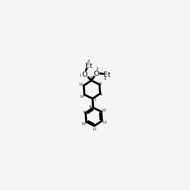 CCOC1(OCC)CCC(c2ccccc2)CC1